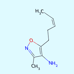 C/C=C\CCc1onc(C)c1N